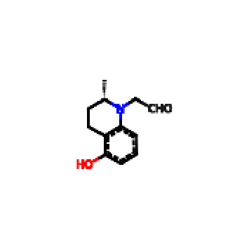 C[C@H]1CCc2c(O)cccc2N1CC=O